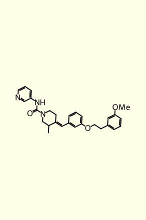 COc1cccc(CCOc2cccc(/C=C3\CCN(C(=O)Nc4cccnc4)CC3C)c2)c1